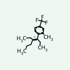 CCC/C(CC)=C(\CC)c1ccc(C(F)(F)F)cc1C